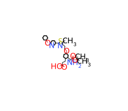 Cc1sc(-c2ccc(Oc3ccccc3)nc2)nc1CCOc1ccc(CCC(=O)O)c(C(N)C(=O)OC(C)C)c1